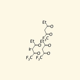 CCC(=O)CC(=O)C(F)(F)F.CCC(=O)CC(=O)C(F)(F)F.CCC(=O)CC(=O)C(F)(F)F.[Ir]